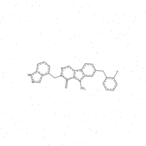 Cn1c2cc(Cc3ccccc3F)ccc2c2cnn(Cc3cccc4[nH]ncc34)c(=O)c21